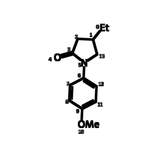 CCC1CC(=O)N(c2ccc(OC)cc2)C1